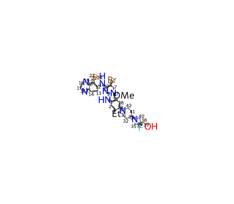 CCc1cc(Nc2ncc(Br)c(Nc3ccc4nccnc4c3P(C)C)n2)c(OC)cc1N1CCC(N2CC(F)(CO)C2)CC1